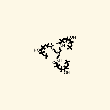 CC(C)(C)CC(C)(C)C(O)C(C)(C)CC(C)(C)C(=O)NCCN(CCNC(=O)C(C)(C)CC(C)(C)C(O)C(C)(C)CC(C)(C)C)CCNC(=O)C(C)(C)CC(C)(C)C(O)C(C)(C)CC(C)(C)C